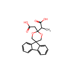 CC(C(=O)O)C1(CC(=O)O)OCC2(CO1)c1ccccc1-c1ccccc12